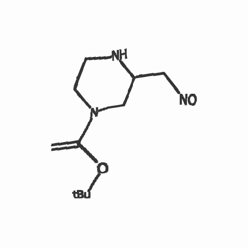 C=C(OC(C)(C)C)N1CCNC(CN=O)C1